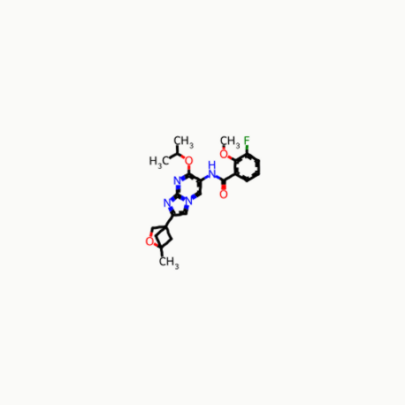 COc1c(F)cccc1C(=O)Nc1cn2cc(C34COC(C)(C3)C4)nc2nc1OC(C)C